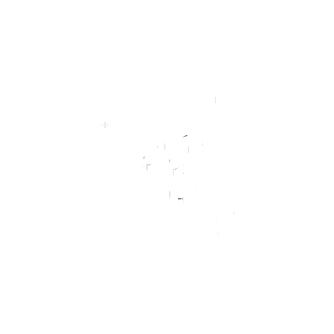 CC(C)OC(=O)[C@@H]1C=C2C[C@@H](O)CC[C@]2(C)[C@H]2CC[C@@]3(C)[C@@H](CC[C@@]3(O)CCC(=O)O)[C@H]12